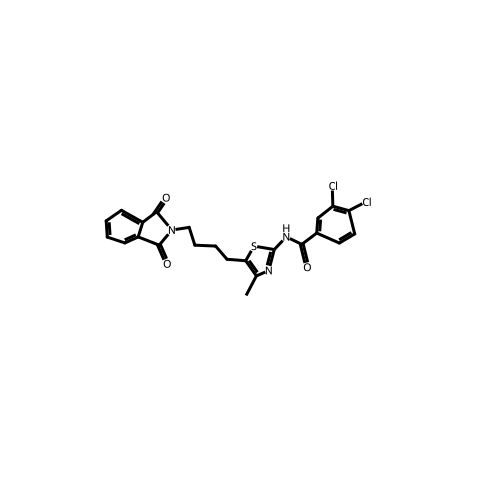 Cc1nc(NC(=O)c2ccc(Cl)c(Cl)c2)sc1CCCCN1C(=O)c2ccccc2C1=O